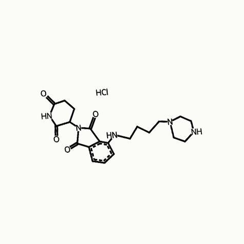 Cl.O=C1CCC(N2C(=O)c3cccc(NCCCCN4CCNCC4)c3C2=O)C(=O)N1